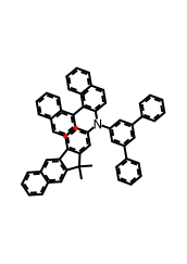 CC1(C)c2cc(N(c3cc(-c4ccccc4)cc(-c4ccccc4)c3)c3ccc4ccccc4c3-c3cccc4ccccc34)ccc2-c2cc3ccccc3cc21